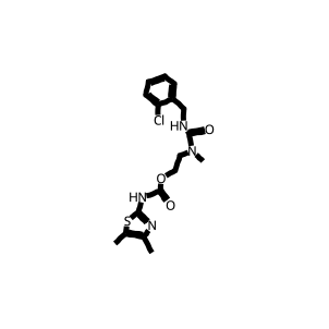 Cc1nc(NC(=O)OCCN(C)C(=O)NCc2ccccc2Cl)sc1C